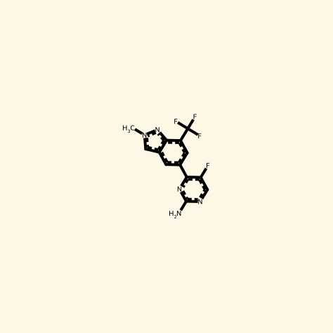 Cn1cc2cc(-c3nc(N)ncc3F)cc(C(F)(F)F)c2n1